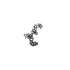 Cc1cc(N2CC[C@@](C)(c3ccccc3)C2)cc(=O)n1CCN1CC2(CCN(c3nccn4cncc34)CC2)NC1O